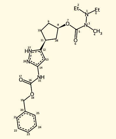 CCN(CC)N(C)C(=O)O[C@@H]1CC[C@H](c2cc(NC(=O)OCc3ccccc3)n[nH]2)C1